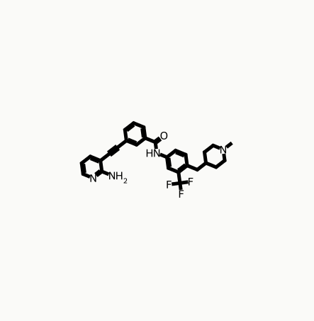 CN1CCC(Cc2ccc(NC(=O)c3cccc(C#Cc4cccnc4N)c3)cc2C(F)(F)F)CC1